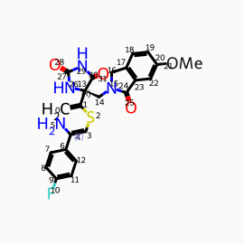 C=C(S/C=C(\N)c1ccc(F)cc1)[C@]1(CN2Cc3ccc(OC)cc3C2=O)NC(=O)NC1=O